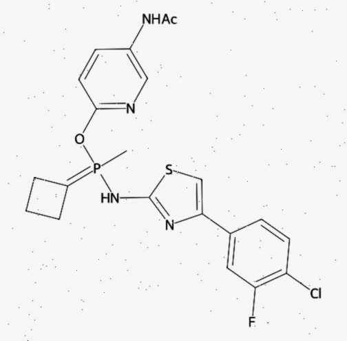 CC(=O)Nc1ccc(OP(C)(Nc2nc(-c3ccc(Cl)c(F)c3)cs2)=C2CCC2)nc1